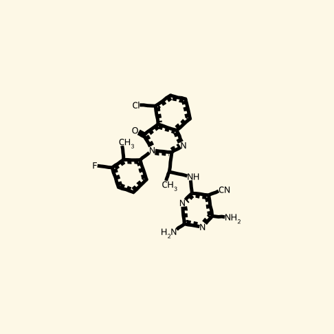 Cc1c(F)cccc1-n1c(C(C)Nc2nc(N)nc(N)c2C#N)nc2cccc(Cl)c2c1=O